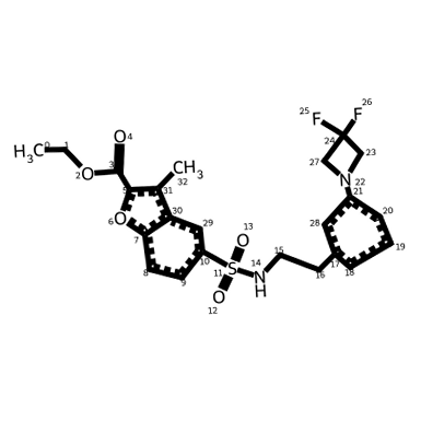 CCOC(=O)c1oc2ccc(S(=O)(=O)NCCc3cccc(N4CC(F)(F)C4)c3)cc2c1C